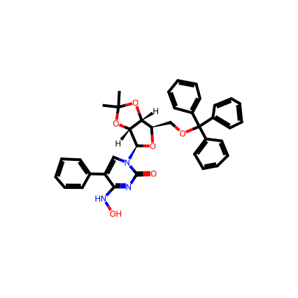 CC1(C)O[C@@H]2[C@H](O1)[C@@H](COC(c1ccccc1)(c1ccccc1)c1ccccc1)O[C@H]2n1cc(-c2ccccc2)c(NO)nc1=O